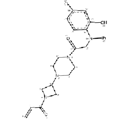 C=CC(=O)N1CC(N2CCN(C(=O)CN(c3ccc(Cl)cc3O)C(C)C)CC2)C1